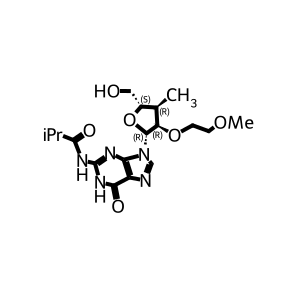 COCCO[C@@H]1[C@H](C)[C@@H](CO)O[C@H]1n1cnc2c(=O)[nH]c(NC(=O)C(C)C)nc21